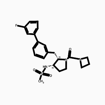 CS(=O)(=O)N[C@H]1CCN(C(=O)N2CCC2)[C@H]1Cc1cccc(-c2cccc(F)c2)c1